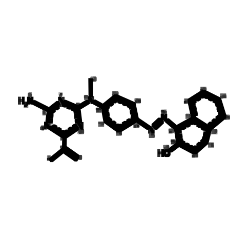 C=C(C)c1nc(N)nc(N(C)c2ccc(N=Nc3c(O)ccc4ccccc34)cc2)n1